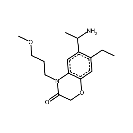 CCc1cc2c(cc1C(C)N)N(CCCOC)C(=O)CO2